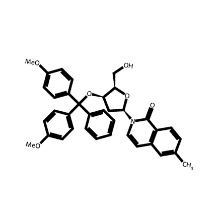 COc1ccc(C(O[C@@H]2C[C@H](n3ccc4cc(C)ccc4c3=O)O[C@@H]2CO)(c2ccccc2)c2ccc(OC)cc2)cc1